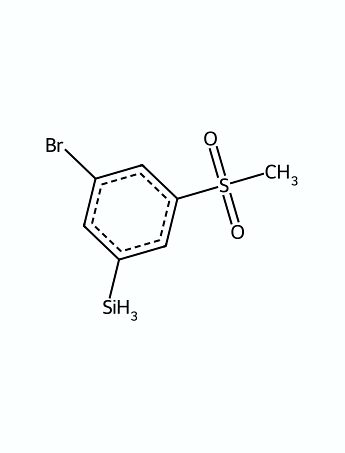 CS(=O)(=O)c1cc([SiH3])cc(Br)c1